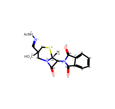 CC(=O)NN=CC1(C(=O)O)CS[C@@H]2C(N3C(=O)c4ccccc4C3=O)C(=O)N2C1